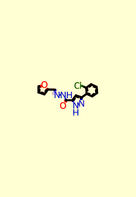 O=C(N/N=C/c1ccco1)c1cc(-c2ccccc2Cl)n[nH]1